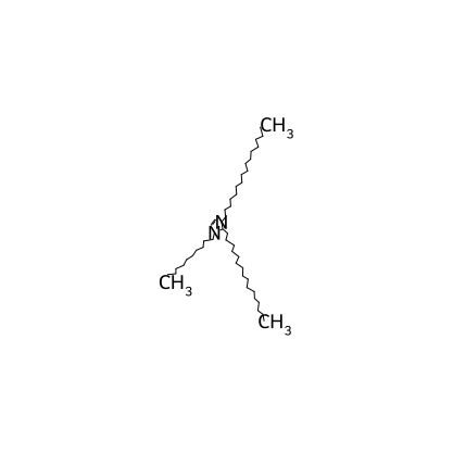 CCCCCCCCCCCCCCCCCN1C=CN(CCCCCCCCCCC)C1CCCCCCCCCCCCCCCC